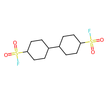 O=S(=O)(F)C1CCC(C2CCC(S(=O)(=O)F)CC2)CC1